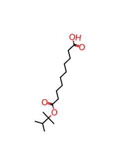 CC(C)C(C)(C)OC(=O)CCCCCCCCC(=O)O